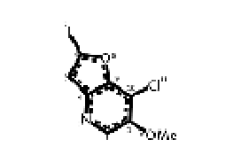 COc1cnc2cc(I)oc2c1Cl